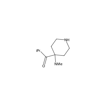 CNC1(C(=O)C(C)C)CCNCC1